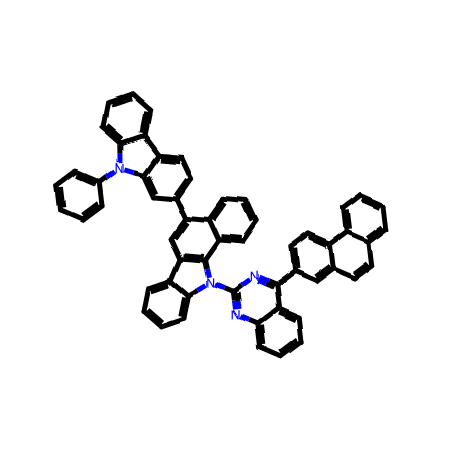 c1ccc(-n2c3ccccc3c3ccc(-c4cc5c6ccccc6n(-c6nc(-c7ccc8c(ccc9ccccc98)c7)c7ccccc7n6)c5c5ccccc45)cc32)cc1